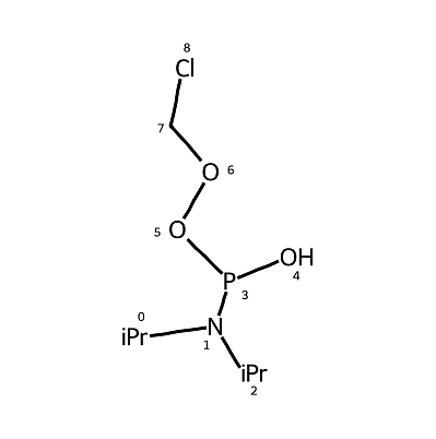 CC(C)N(C(C)C)P(O)OOCCl